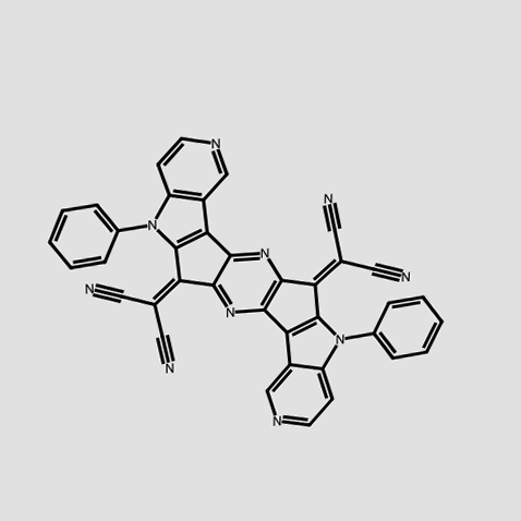 N#CC(C#N)=C1c2nc3c(nc2-c2c1n(-c1ccccc1)c1ccncc21)C(=C(C#N)C#N)c1c-3c2cnccc2n1-c1ccccc1